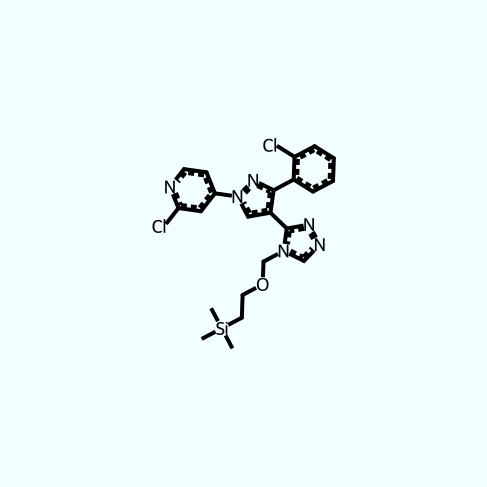 C[Si](C)(C)CCOCn1cnnc1-c1cn(-c2ccnc(Cl)c2)nc1-c1ccccc1Cl